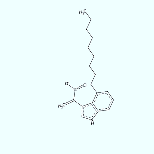 C=C(c1c[nH]c2cccc(CCCCCCCCC)c12)[N+](=O)[O-]